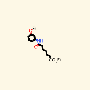 CCOC(=O)CCCCCC(=O)Nc1cccc(OCC)c1